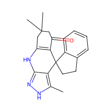 Cc1[nH]nc2c1C1(CCc3ccccc31)C1=C(CC(C)(C)CC1=O)N2